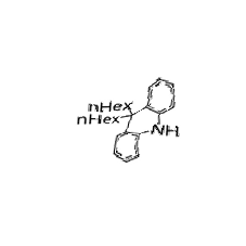 CCCCCCC1(CCCCCC)c2ccccc2Nc2ccccc21